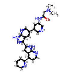 CN(C)CC(=O)Nc1cncc(-c2cnc3[nH]nc(-c4cc5c(-c6ccccn6)ccnc5[nH]4)c3c2)c1